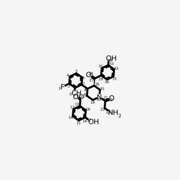 Cc1c(F)cccc1C1[C@@H](C(=O)c2cccc(O)c2)CN(C(=O)CN)C[C@@H]1C(=O)c1cccc(O)c1